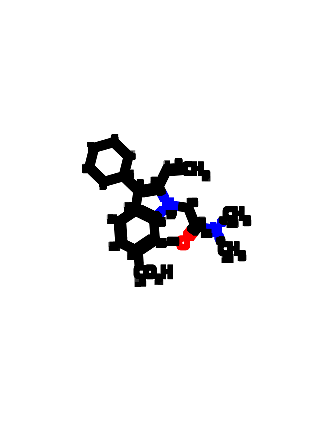 C=Cc1c(C2CCCCC2)c2ccc(C(=O)O)cc2n1CC(=O)N(C)C